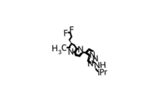 CC1=Nc2ccc(-c3ccn4nc(NCC(C)C)ncc34)nc2C[C@@H]1CCC(F)F